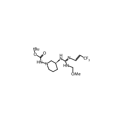 COCN/C(=N\C=C\C(F)(F)F)N[C@H]1CCCN(NC(=O)OC(C)(C)C)C1